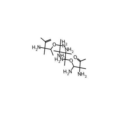 C=C(C)C(C)(N)C(C)OC(C)(N)C(C)(N)C(C)(N)C(C)(N)OC(N)C(C)(N)C(C)=O